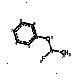 C[C](F)Oc1ccccc1